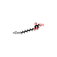 CCCCCCCCCCCCCCCCCCCCOc1cc(=O)c(CO)co1